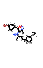 Cc1noc(-c2ccc(Br)cc2)c1NC(C)CCc1cccc(C(F)(F)F)c1